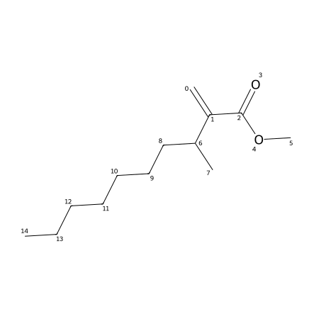 C=C(C(=O)OC)C(C)CCCCCCC